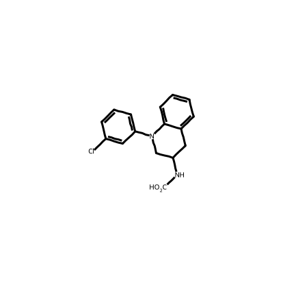 O=C(O)NC1Cc2ccccc2N(c2cccc(Cl)c2)C1